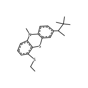 CCSc1cccc2c1Sc1cc(C(C)C(C)(C)C)ccc1N2C